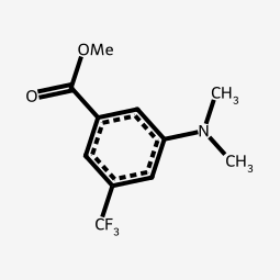 COC(=O)c1cc(N(C)C)cc(C(F)(F)F)c1